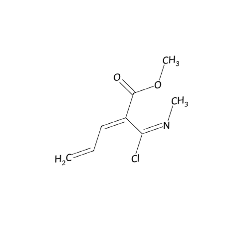 C=C/C=C(C(=O)OC)\C(Cl)=N/C